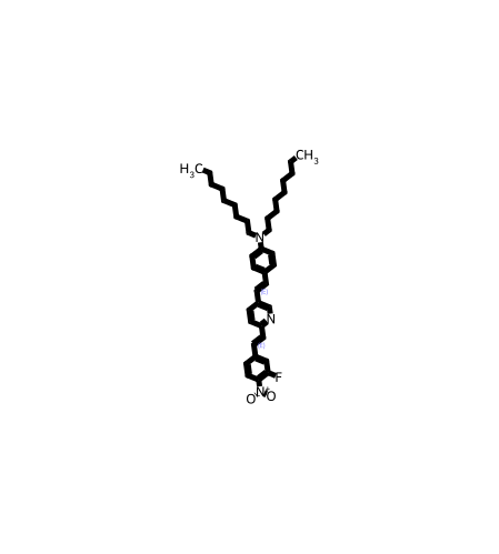 CCCCCCCCCN(CCCCCCCCC)c1ccc(/C=C/c2ccc(/C=C/c3ccc([N+](=O)[O-])c(F)c3)nc2)cc1